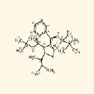 CC(C)C(C)[C@@H]1CC[C@H]([C@H](O[Si](C)(C)C(C)(C)C)c2ccccc2)N1C(=O)OC(C)(C)C